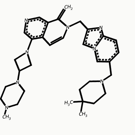 C=C1c2cncc(N3CC(N4CCN(C)CC4)C3)c2C=CN1Cc1cn2cc(CN3CCC(C)(C)CC3)ccc2n1